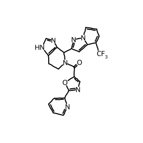 O=C(c1cnc(-c2ccccn2)o1)N1CCc2[nH]cnc2C1c1cc2c(C(F)(F)F)cccn2n1